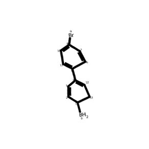 BC1C=CC(c2ccc(Br)cc2)=CC1